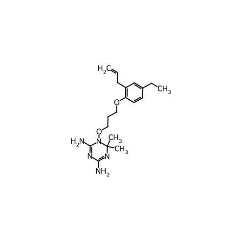 C=CCc1cc(CC)ccc1OCCCON1C(N)=NC(N)=NC1(C)C